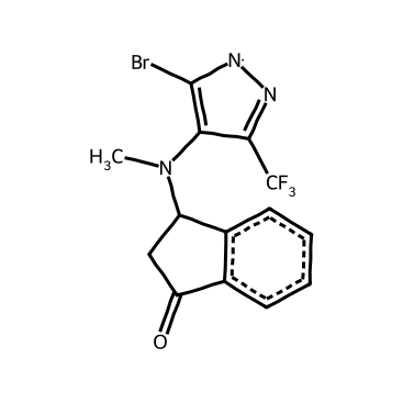 CN(C1=C(Br)[N]N=C1C(F)(F)F)C1CC(=O)c2ccccc21